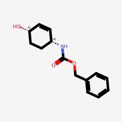 O=C(N[C@H]1C=C[C@@H](O)CC1)OCc1ccccc1